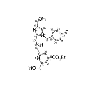 CCOC(=O)c1cc(CO)nc(CNCc2nc(CO)cn2Cc2ccc(F)cc2)c1